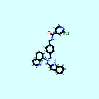 O=C(NCc1ccc(CN(Cc2cc3ccccc3[nH]2)C2CCCc3cccnc32)cc1)c1ccnc(Cl)c1